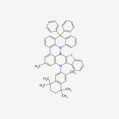 Cc1cc2c3c(c1)N(c1cc4c(cc1C)C(C)(C)CCC4(C)C)c1c(sc4ccccc14)B3N1c3ccccc3C(c3ccccc3)(c3ccccc3)c3cccc-2c31